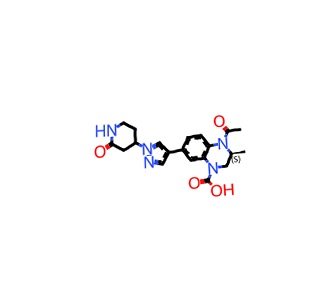 CC(=O)N1c2ccc(-c3cnn(C4CCNC(=O)C4)c3)cc2N(C(=O)O)C[C@@H]1C